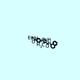 CCNC(=O)c1ccc(-n2nnc(C(=O)NC3CCCc4ccccc43)c2C)cc1